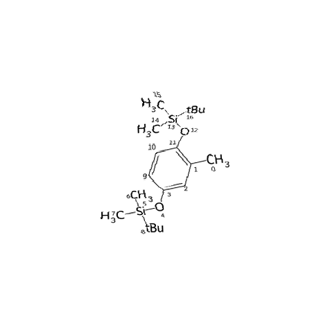 Cc1cc(O[Si](C)(C)C(C)(C)C)ccc1O[Si](C)(C)C(C)(C)C